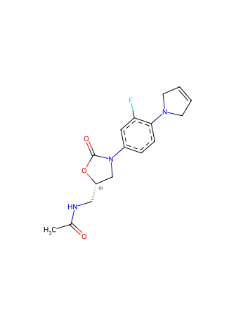 CC(=O)NC[C@H]1CN(c2ccc(N3CC=CC3)c(F)c2)C(=O)O1